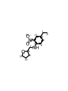 CCc1ccc(NCC2CCCO2)c([N+](=O)[O-])c1